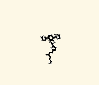 CC(C)CCCC(C)CCc1ccc(-c2nc3c(s2)C(C2NC=CS2)=C=C=C3c2nccs2)s1